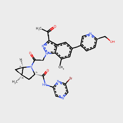 CC(=O)c1nn(CC(=O)N2[C@H](C(=O)Nc3cncc(Br)n3)C[C@@]3(C)C[C@@H]23)c2c(C)cc(-c3ccc(CO)nc3)cc12